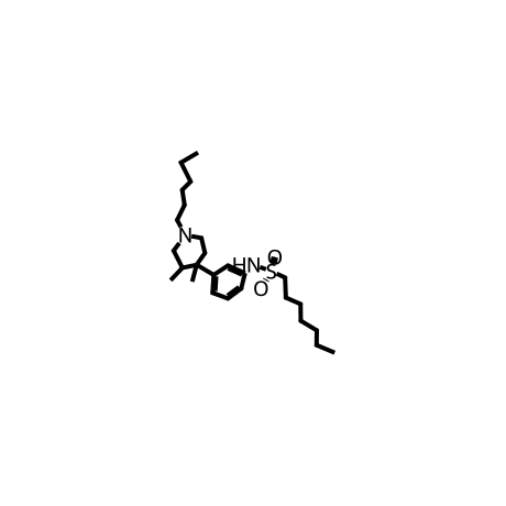 CCCCCCCS(=O)(=O)Nc1cccc(C2(C)CCN(CCCCCC)CC2C)c1